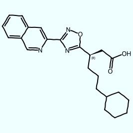 O=C(O)C[C@@H](CCCC1CCCCC1)c1nc(-c2cc3ccccc3cn2)no1